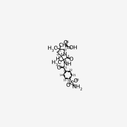 CC1(C)S[C@H]2N(C(=O)C2(C)NC(=O)c2ccc(S(N)(=O)=O)cc2)[C@H]1C(=O)O